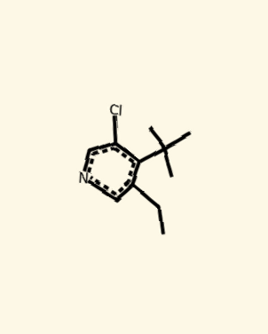 CCc1cncc(Cl)c1C(C)(C)C